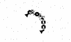 O=C(CN1CCN(C2CCN(CC3CC3)CC2)CC1)Nc1nc2ccc(Sc3nnc4ccc(C5CC5)nn34)cc2s1